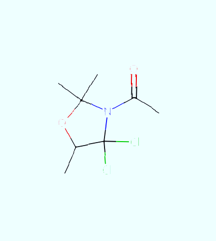 CC(=O)N1C(C)(C)OC(C)C1(Cl)Cl